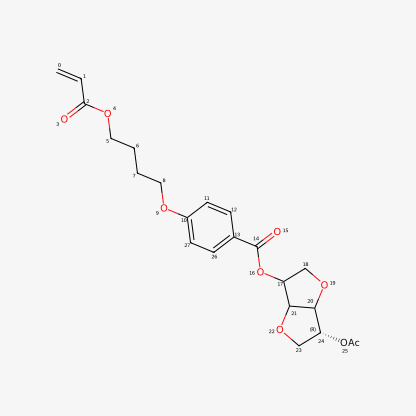 C=CC(=O)OCCCCOc1ccc(C(=O)OC2COC3C2OC[C@H]3OC(C)=O)cc1